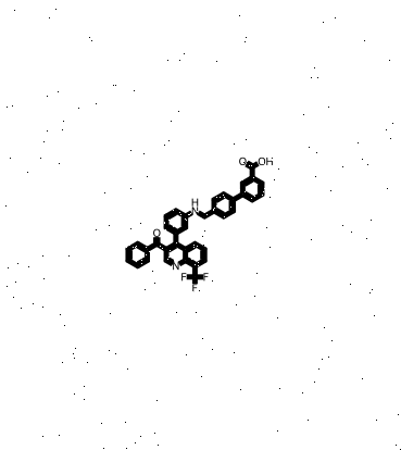 O=C(O)c1cccc(-c2ccc(CNc3cccc(-c4c(C(=O)c5ccccc5)cnc5c(C(F)(F)F)cccc45)c3)cc2)c1